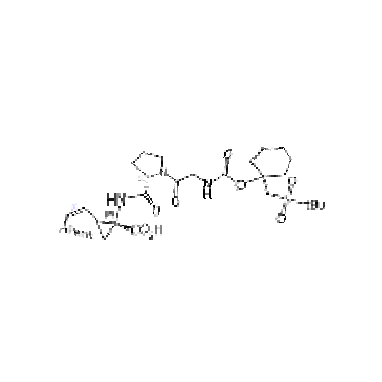 CCCCC/C=C\C1C[C@]1(NC(=O)[C@@H]1CCCN1C(=O)CNC(=O)OC1(CS(=O)(=O)C(C)(C)C)CCCCC1)C(=O)O